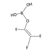 OB(O)OC(F)=C(F)F